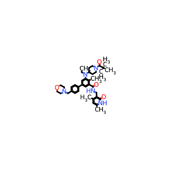 CCN(c1cc(-c2ccc(CN3CCOCC3)cc2)cc(C(=O)NCc2c(C)cc(C)[nH]c2=O)c1C)C1CCN(C(=O)C(C)(C)C)CC1